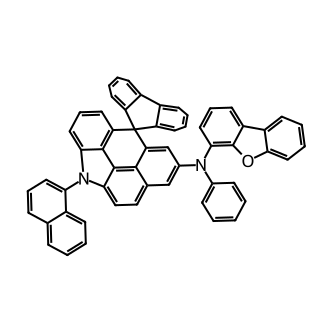 c1ccc(N(c2cc3c4c(ccc5c4c4c(cccc4n5-c4cccc5ccccc45)C34c3ccccc3-c3ccccc34)c2)c2cccc3c2oc2ccccc23)cc1